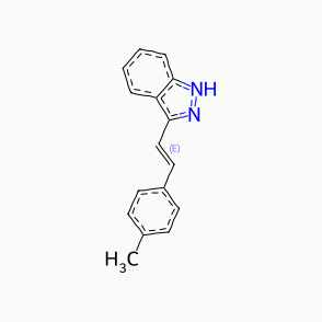 Cc1ccc(/C=C/c2n[nH]c3ccccc23)cc1